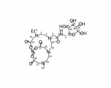 CCN1CCN(CC(=O)NC[C@H]2OC(O)[C@H](O)[C@@H](O)[C@@H]2O)CCN2CCN(C)CC(=O)O[N@](OC(=O)C1)OC(=O)C2